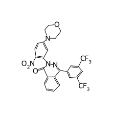 O=c1c2ccccc2c(-c2cc(C(F)(F)F)cc(C(F)(F)F)c2)nn1-c1cc(N2CCOCC2)ccc1[N+](=O)[O-]